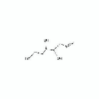 O=PCC(O)C(O)CCO